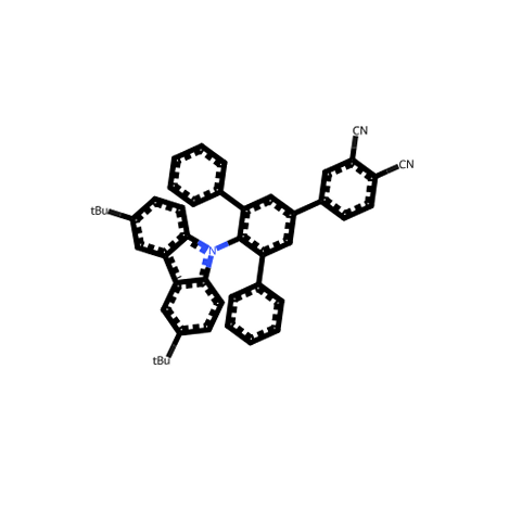 CC(C)(C)c1ccc2c(c1)c1cc(C(C)(C)C)ccc1n2-c1c(-c2ccccc2)cc(-c2ccc(C#N)c(C#N)c2)cc1-c1ccccc1